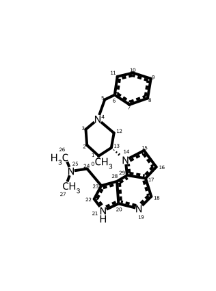 C[C@@H]1CCN(Cc2ccccc2)C[C@@H]1n1ccc2cnc3[nH]cc(CN(C)C)c3c21